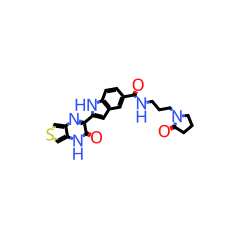 O=C(NCCCN1CCCC1=O)c1ccc2[nH]c(-c3nc4cscc4[nH]c3=O)cc2c1